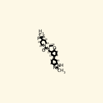 Cc1nc2ccc(-c3ccc4c(c3)CN(C(=O)N3CCC(C(C)(F)F)CC3)CCO4)cc2[nH]1